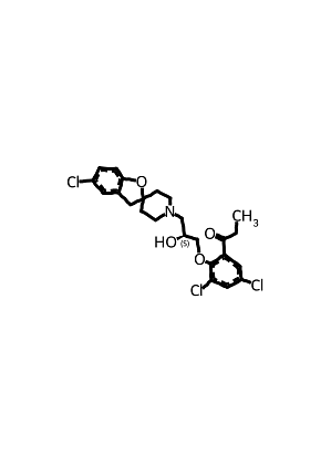 CCC(=O)c1cc(Cl)cc(Cl)c1OC[C@@H](O)CN1CCC2(CC1)Cc1cc(Cl)ccc1O2